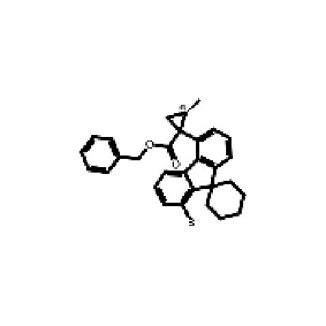 C[C@@H]1CC1(C(=O)OCc1ccccc1)c1cccc2c1-c1cccc(Br)c1C21CCCCC1